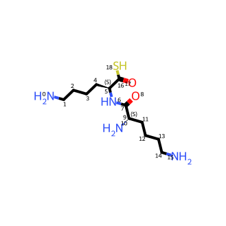 NCCCC[C@H](NC(=O)[C@@H](N)CCCCN)C(=O)S